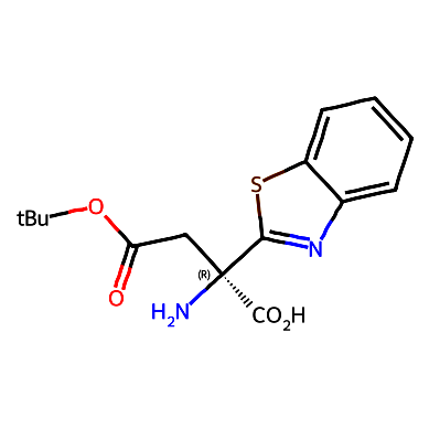 CC(C)(C)OC(=O)C[C@@](N)(C(=O)O)c1nc2ccccc2s1